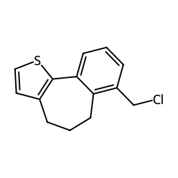 ClCc1cccc2c1CCCc1ccsc1-2